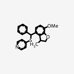 COc1ccc(C(Sc2ccncc2)c2ccccc2)c2c1OCC2C